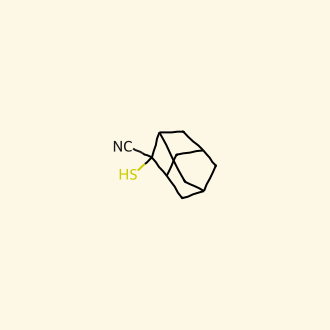 N#CC1(S)C2CC3CC(C2)CC1C3